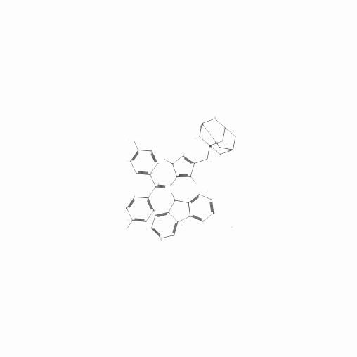 CC1=[C]([Zr+2](=[C](c2ccc(C)cc2)c2ccc(C)cc2)[CH]2c3ccccc3-c3ccccc32)C(C)C=C1CC12CC3CC(CC(C3)C1)C2.[Cl-].[Cl-]